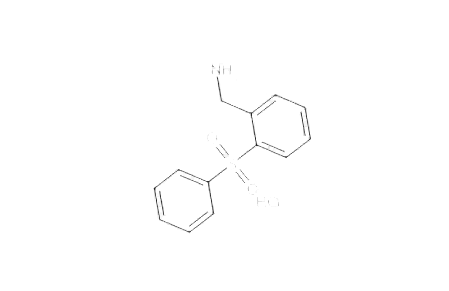 Cl.NCc1ccccc1S(=O)(=O)c1ccccc1